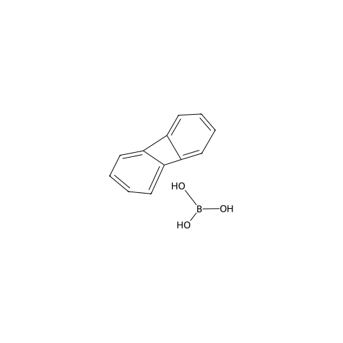 OB(O)O.c1ccc2c(c1)-c1ccccc1-2